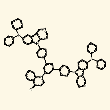 O=c1ccn(-c2cc(-c3ccc(-n4c5ccncc5c5cc(N(c6ccccc6)c6ccccc6)ccc54)cc3)cc(-c3ccc(-n4c5ccncc5c5cc(N(c6ccccc6)c6ccccc6)ccc54)cc3)c2)c2ccccc12